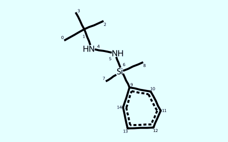 CC(C)(C)NN[Si](C)(C)c1ccccc1